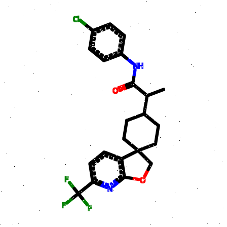 CC(C(=O)Nc1ccc(Cl)cc1)C1CCC2(CC1)COc1nc(C(F)(F)F)ccc12